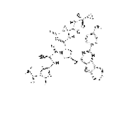 C=C[C@@H]1C[C@]1(NC(=O)[C@@H]1C[C@@H](Oc2nc(-c3ccc(C(F)(F)F)cc3)nc3c2oc2ccccc23)CN1C(=O)[C@@H](Nc1nc(C)c(C(=O)N(C)C)s1)C(C)(C)C)C(=O)NS(=O)(=O)C1CC1